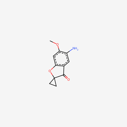 COc1cc2c(cc1N)C(=O)C1(CC1)O2